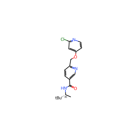 C[C@@H](NC(=O)c1ccc(COc2ccnc(Cl)c2)nc1)C(C)(C)C